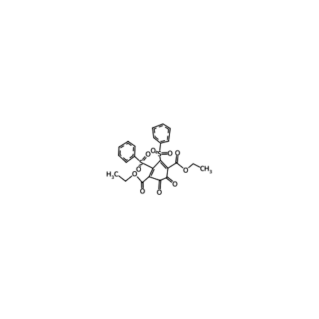 CCOC(=O)C1=C(S(=O)(=O)c2ccccc2)C(S(=O)(=O)c2ccccc2)=C(C(=O)OCC)C(=O)C1=O